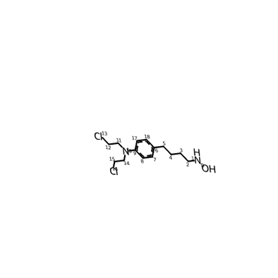 ONCCCCc1ccc(N(CCCl)CCCl)cc1